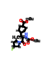 CCCCOC(=O)C1CCC([C@H](C)[C@H](NC(=O)OC(C)(C)C)C(=O)N2CC[C@H](F)C2)CC1